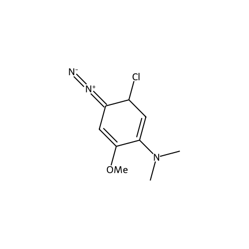 COC1=CC(=[N+]=[N-])C(Cl)C=C1N(C)C